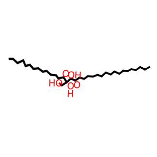 CCCCCCCCCCCCCCCCCC(=O)C(O)C(O)(CO)C(=O)CCCCCCCCCCCCC